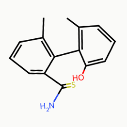 Cc1cccc(O)c1-c1c(C)cccc1C(N)=S